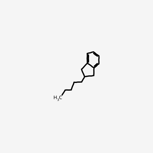 CCCCCC1Cc2ccccc2C1